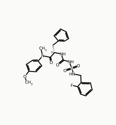 COc1ccc(N(C)C(=O)[C@H](Cc2ccccc2)NC(=O)NS(=O)(=O)NCc2ccccc2F)cc1